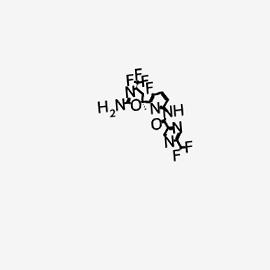 C[C@@]1(c2nc(NC(=O)c3cnc(C(F)F)cn3)ccc2F)C[C@@H](C(F)(F)F)N=C(N)O1